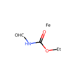 CCOC(=O)NC=O.[Fe]